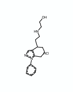 Cl.OCCNCCC1CCCc2c1cnn2-c1ccccc1